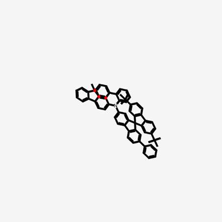 CC(C)(C)c1ccc2c(c1)C1(c3cc(-c4ccccc4)ccc3-c3ccc(N(c4ccc5c(c4)C(C)(C)c4ccccc4-5)c4ccccc4-c4ccccc4)cc31)c1cc(C(C)(C)C)ccc1-2